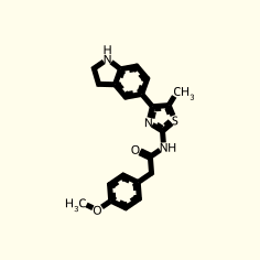 COc1ccc(CC(=O)Nc2nc(-c3ccc4c(c3)CCN4)c(C)s2)cc1